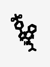 CC(C)CNc1nc2ccccc2n2c(-c3ccc(S(C)(=O)=O)cc3)cnc12